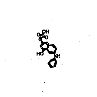 O=S(=O)(O)Oc1cc(O)c2cc(Nc3ccccc3)ccc2c1